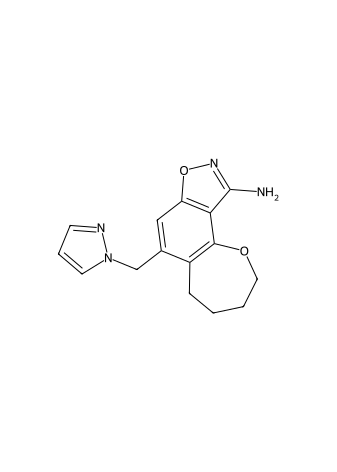 Nc1noc2cc(Cn3cccn3)c3c(c12)OCCCC3